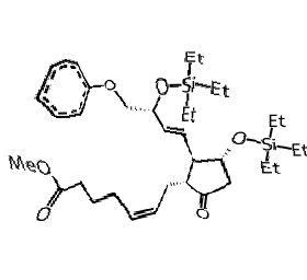 CC[Si](CC)(CC)O[C@H](/C=C/[C@H]1[C@H](O[Si](CC)(CC)CC)CC(=O)[C@@H]1C/C=C\CCCC(=O)OC)COc1ccccc1